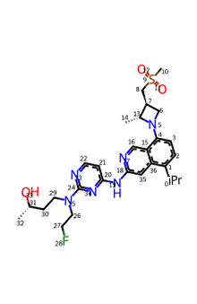 CC(C)c1ccc(N2C[C@H](CS(C)(=O)=O)[C@H]2C)c2cnc(Nc3ccnc(N(CCF)CC[C@H](C)O)n3)cc12